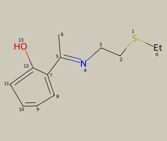 CCSCC/N=C(\C)c1ccccc1O